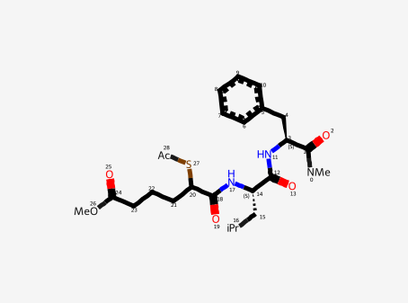 CNC(=O)[C@H](Cc1ccccc1)NC(=O)[C@H](CC(C)C)NC(=O)C(CCCC(=O)OC)SC(C)=O